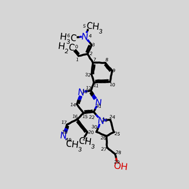 C=C/C(=C\N(C)C)c1cccc(-c2ncc(C(/C=N\C)=C/C)c(N3CCC(CCO)C3)n2)c1